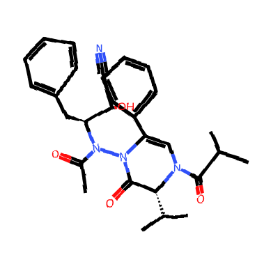 CC(=O)N([C@@H](Cc1ccccc1)C(O)C#N)N1C(=O)[C@@H](C(C)C)N(C(=O)C(C)C)C=C1c1ccccc1